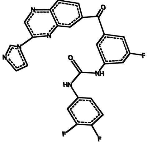 O=C(Nc1cc(F)cc(C(=O)c2ccc3ncc(-n4ccnc4)nc3c2)c1)Nc1ccc(F)c(F)c1